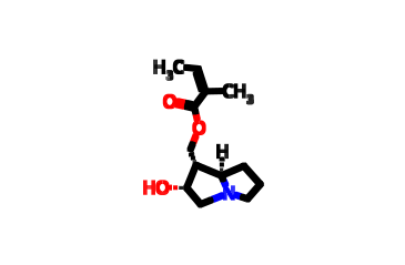 C/C=C(/C)C(=O)OC[C@@H]1[C@H]2CCCN2C[C@@H]1O